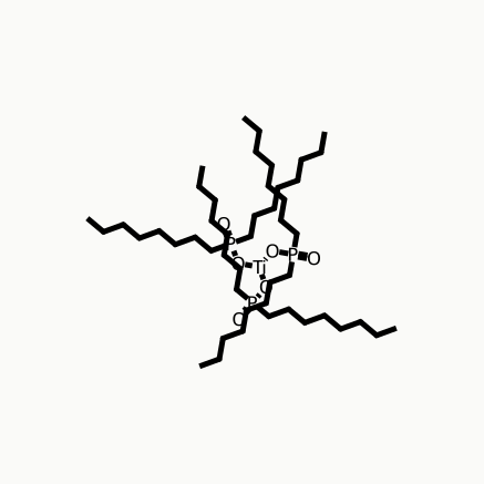 CCCCCCCCP(=O)(CCCCCCCC)[O][Ti]([O]P(=O)(CCCCCCCC)CCCCCCCC)[O]P(=O)(CCCCCCCC)CCCCCCCC